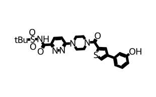 CC(C)(C)S(=O)(=O)NC(=O)c1ccc(N2CCN(C(=O)c3cc(-c4cccc(O)c4)cs3)CC2)nn1